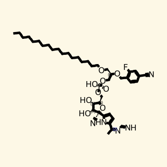 CCCCCCCCCCCCCCCCCCOC[C@H](COP(=O)(O)OC[C@H]1O[C@@](C#N)(c2ccc(/C(C)=N\C=N)[nH]2)[C@H](O)[C@@H]1O)OCc1ccc(C#N)cc1F